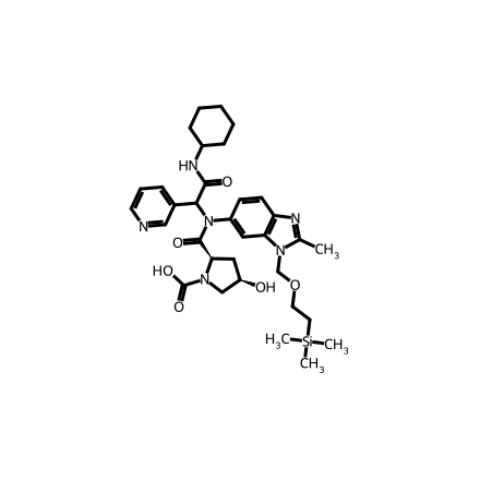 Cc1nc2ccc(N(C(=O)[C@H]3C[C@@H](O)CN3C(=O)O)C(C(=O)NC3CCCCC3)c3cccnc3)cc2n1COCC[Si](C)(C)C